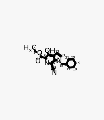 CCOC(=O)c1nc(C#N)c2c(ccn2CC2CCCCC2)c1O